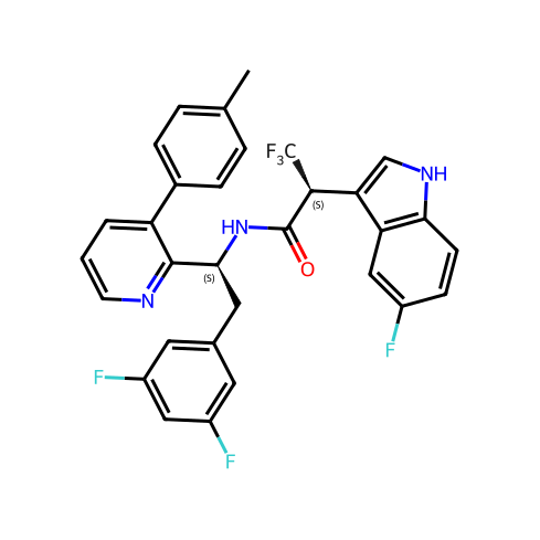 Cc1ccc(-c2cccnc2[C@H](Cc2cc(F)cc(F)c2)NC(=O)[C@H](c2c[nH]c3ccc(F)cc23)C(F)(F)F)cc1